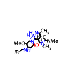 CNC(C)N(C)C(O)C(/C=C(/C)N)=C(/N)N1CC[C@@H](NCC(C)C)[C@@H](OC)C1